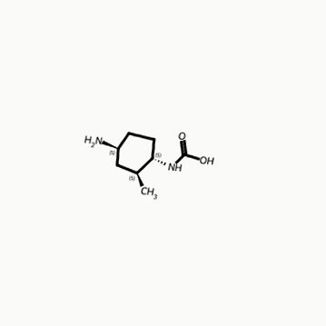 C[C@H]1C[C@@H](N)CC[C@@H]1NC(=O)O